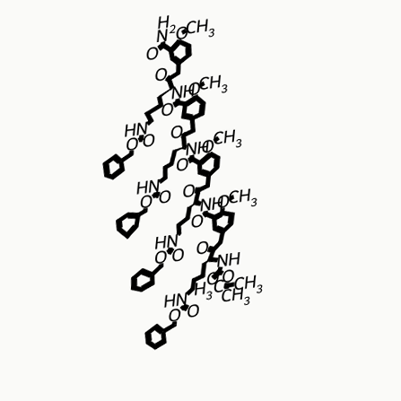 COc1ccc(CC(=O)[C@H](CCCCNC(=O)OCc2ccccc2)NC(=O)c2cc(CC(=O)[C@H](CCCCNC(=O)OCc3ccccc3)NC(=O)c3cc(CC(=O)[C@H](CCCCNC(=O)OCc4ccccc4)NC(=O)c4cc(CC(=O)[C@H](CCCCNC(=O)OCc5ccccc5)NC(=O)OC(C)(C)C)ccc4OC)ccc3OC)ccc2OC)cc1C(N)=O